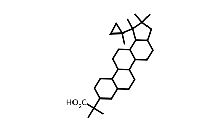 CC(C)(C(=O)O)C1CCC2C(CCC3C2CCC2C3CCC3CC(C)(C)C(C)(C4(C)CC4)C32)C1